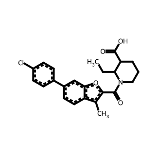 CCC1C(C(=O)O)CCCN1C(=O)c1oc2cc(-c3ccc(Cl)cc3)ccc2c1C